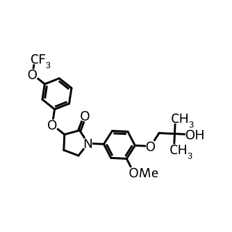 COc1cc(N2CCC(Oc3cccc(OC(F)(F)F)c3)C2=O)ccc1OCC(C)(C)O